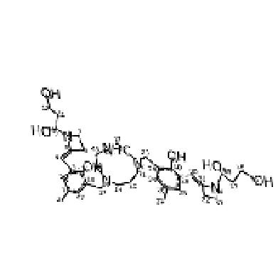 Cc1cc(C=C2CCN2C(O)CCO)c(O)c(CN2CCCN(Cc3cc(C)cc(C=C4CCN4C(O)CCO)c3O)CCNCC2)c1